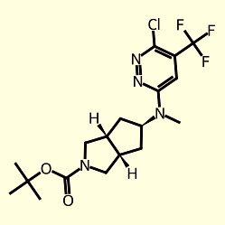 CN(c1cc(C(F)(F)F)c(Cl)nn1)[C@H]1C[C@@H]2CN(C(=O)OC(C)(C)C)C[C@@H]2C1